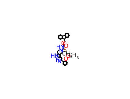 COCOc1ccccc1-c1cc2c3c([nH]c2nn1)CCN(C(=S)NC(=O)OCC1c2ccccc2-c2ccccc21)C3C